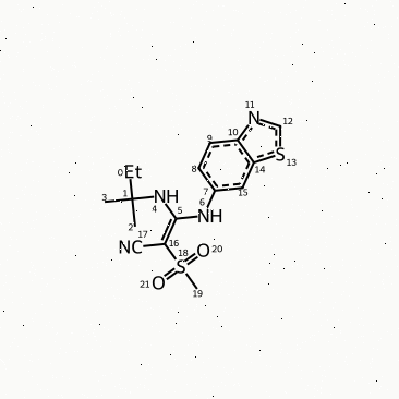 CCC(C)(C)NC(Nc1ccc2ncsc2c1)=C(C#N)S(C)(=O)=O